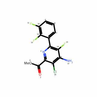 COC(=O)c1nc(-c2cccc(F)c2F)c(F)c(N)c1Cl